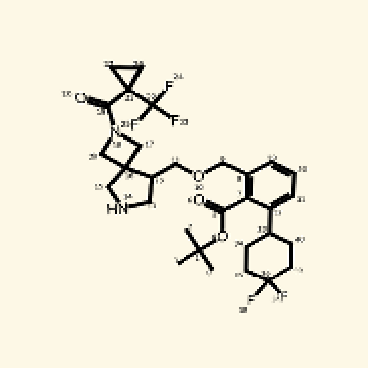 CC(C)(C)OC(=O)c1c(COCC2CNCC23CN(C(=O)C2(C(F)(F)F)CC2)C3)cccc1C1CCC(F)(F)CC1